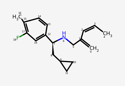 C=C(/C=C\C)CN[C@@H](CC1CC1)c1ccc(C)c(F)c1